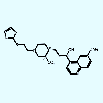 COc1ccc2nccc([C@H](O)CC[C@@H]3CCN(CCSc4nccs4)C[C@@H]3C(=O)O)c2c1